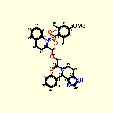 COc1cc(C)c(S(=O)(=O)N2c3ccccc3CCC2COCC(=O)N2CCc3[nH]cnc3C2c2ccccc2)c(C)c1